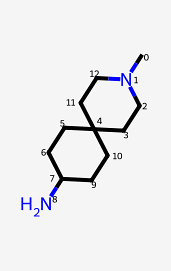 CN1CCC2(CCC(N)CC2)CC1